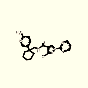 Cc1ccc(C2(CNC(=O)c3cn(-c4ncccn4)nc3Cl)CCCCC2)cn1